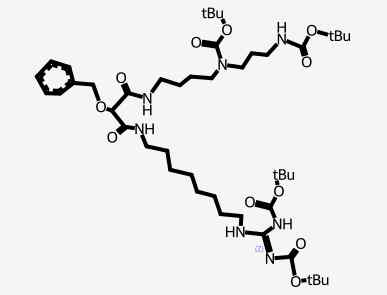 CC(C)(C)OC(=O)/N=C(/NCCCCCCCCNC(=O)C(OCc1ccccc1)C(=O)NCCCCN(CCCNC(=O)OC(C)(C)C)C(=O)OC(C)(C)C)NC(=O)OC(C)(C)C